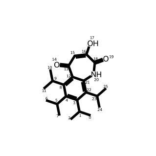 CC(C)c1c(C(C)C)c(C(C)C)c2c(=O)cc(O)c(=O)[nH]c2c1C(C)C